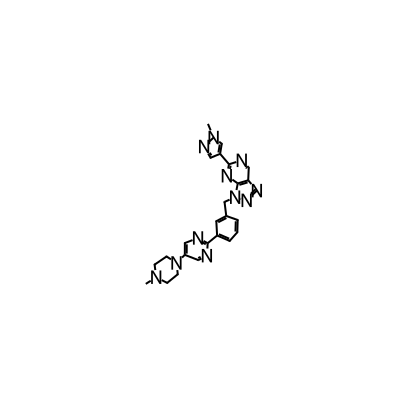 CN1CCN(c2cnc(-c3cccc(Cn4nnc5cnc(-c6cnn(C)c6)nc54)c3)nc2)CC1